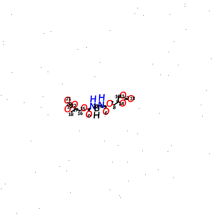 O=C(NBNC(=O)OCC1COC(=O)O1)OCC1COC(=O)O1